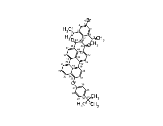 CC(C)c1cc(Br)cc(C(C)C)c1N1C(=O)c2ccc3c4cccc5c(Oc6ccc(C(C)(C)C)cc6)ccc(c6ccc(c2c36)C1=O)c54